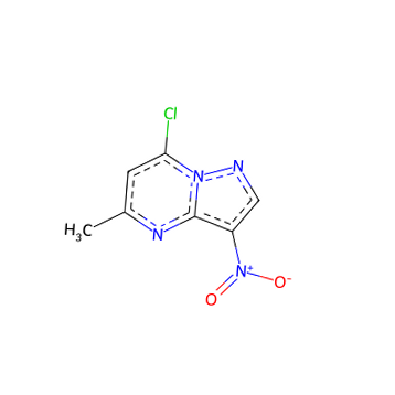 Cc1cc(Cl)n2ncc([N+](=O)[O-])c2n1